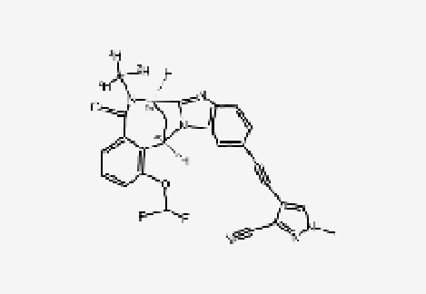 [2H]C([2H])([2H])N1C(=O)c2cccc(OC(F)F)c2[C@H]2C[C@@H]1c1nc3ccc(C#Cc4cn(C)nc4C#N)cc3n12